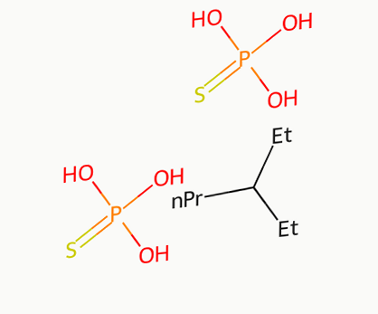 CCCC(CC)CC.OP(O)(O)=S.OP(O)(O)=S